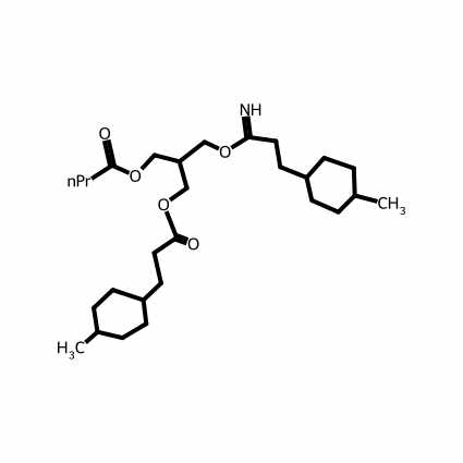 CCCC(=O)OCC(COC(=N)CCC1CCC(C)CC1)COC(=O)CCC1CCC(C)CC1